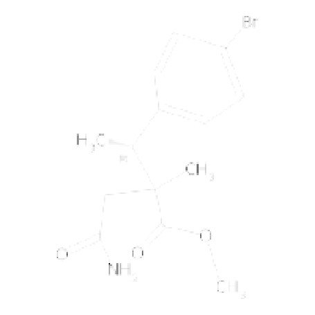 COC(=O)C(C)(CC(N)=O)[C@H](C)c1ccc(Br)cc1